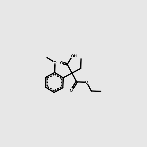 CCOC(=O)C(CC)(C(=O)O)c1ccccc1OC